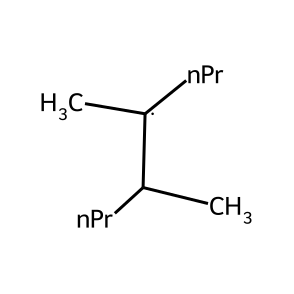 CCC[C](C)C(C)CCC